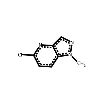 Cn1ncc2nc(Cl)ccc21